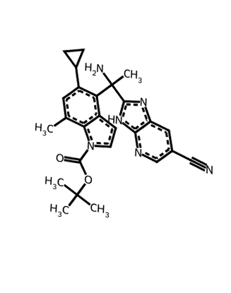 Cc1cc(C2CC2)c(C(C)(N)c2nc3cc(C#N)cnc3[nH]2)c2ccn(C(=O)OC(C)(C)C)c12